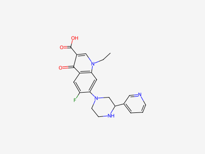 CCn1cc(C(=O)O)c(=O)c2cc(F)c(N3CCNC(c4cccnc4)C3)cc21